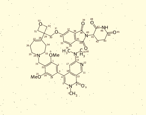 COc1cc(-c2cn(C)c(=O)c3cnc(N(C)C)cc23)cc(OC)c1CN1CCC=C(C2(COc3ccc4c(c3)C(=O)N(C3CCC(=O)NC3=O)C4=O)COC2)CC1